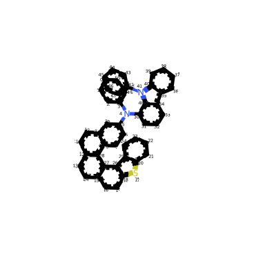 c1ccc(N(c2ccc3c(ccc4ccc5ccc6sc7ccccc7c6c5c43)c2)c2cccc3c4ccccc4n(-c4ccccc4)c23)cc1